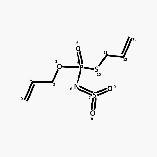 C=CCOP(=O)(N=S(=O)=O)SCC=C